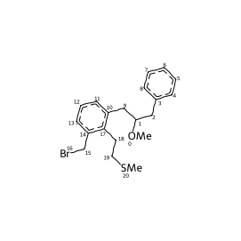 COC(Cc1ccccc1)Cc1cc[c]c(CBr)c1CCSC